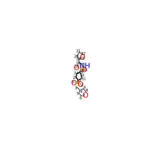 O=S(=O)(CC1CCOCC1)c1ccc(S(=O)(=O)NCC2CCCO2)cc1